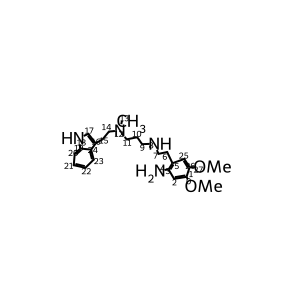 COc1cc(N)c(CCNCCCN(C)CCc2c[nH]c3ccccc23)cc1OC